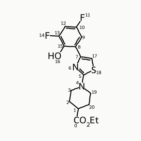 CCOC(=O)C1CCN(c2nc(-c3cc(F)cc(F)c3O)cs2)CC1